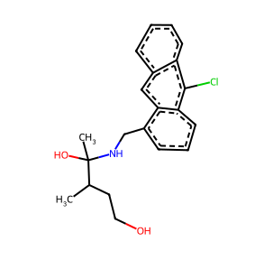 CC(CCO)C(C)(O)NCc1cccc2c(Cl)c3ccccc3cc12